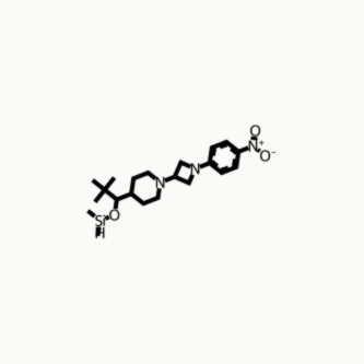 C[SiH](C)OC(C1CCN(C2CN(c3ccc([N+](=O)[O-])cc3)C2)CC1)C(C)(C)C